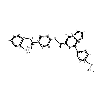 COc1ccc(-c2nc(NCc3ccc(C(=O)Nc4ccccc4N)cc3)nn3cccc23)cc1